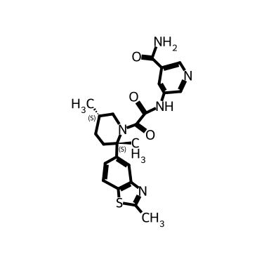 Cc1nc2cc([C@]3(C)CC[C@H](C)CN3C(=O)C(=O)Nc3cncc(C(N)=O)c3)ccc2s1